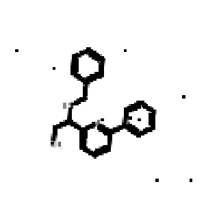 CCC(NCc1ccccc1)c1cccc(-c2ccccc2)n1